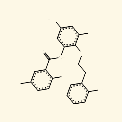 Cc1cc(C)c(OCCc2ccccc2C(F)(F)F)c(NC(=O)c2cc(Cl)ccc2O)c1